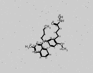 CCCCN(c1ccc(OC)c(CCCC(=O)NO)c1)c1nc(C)nc2ccccc12